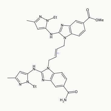 CCn1nc(C)cc1Nc1nc2cc(C(N)=O)ccc2n1C/C=C/Cn1c(Nc2cc(C)nn2CC)nc2cc(C(=O)OC)ccc21